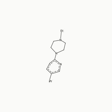 CCN1CCN(c2ccc(C(C)C)cn2)CC1